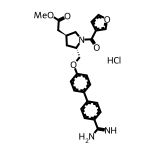 COC(=O)C[C@@H]1C[C@@H](COc2ccc(-c3ccc(C(=N)N)cc3)cc2)N(C(=O)c2ccoc2)C1.Cl